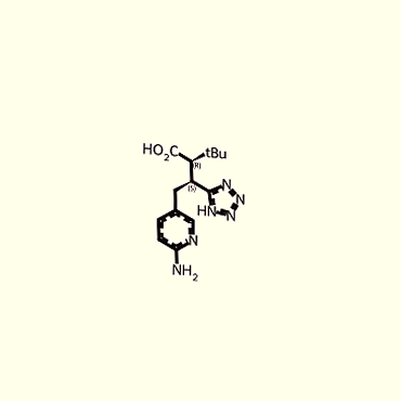 CC(C)(C)[C@H](C(=O)O)[C@H](Cc1ccc(N)nc1)c1nnn[nH]1